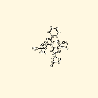 CC(C)(C)OC(=O)N(OC(=O)c1ccccc1)c1cc([C@@H]2CC(=O)CO2)nn1C(C)(C)C